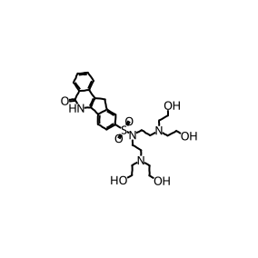 O=c1[nH]c2c(c3ccccc13)Cc1cc(S(=O)(=O)N(CCN(CCO)CCO)CCN(CCO)CCO)ccc1-2